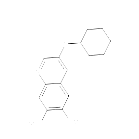 COc1cc2cc(NC3CCC[C@@H](C)C3)cnc2cc1OC.Cl.Cl